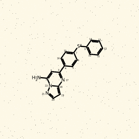 Nc1cc(-c2ccc(Sc3ccccc3)cc2)nc2ccnn12